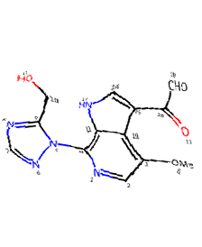 COc1cnc(-n2ncnc2CO)c2[nH]cc(C(=O)C=O)c12